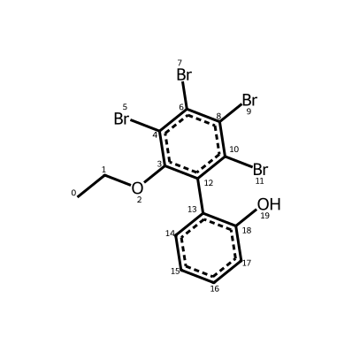 CCOc1c(Br)c(Br)c(Br)c(Br)c1-c1ccccc1O